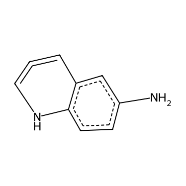 Nc1ccc2c(c1)C=C=CN2